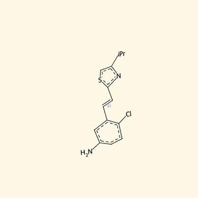 CC(C)c1csc(/C=C/c2cc(N)ccc2Cl)n1